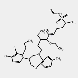 CCCc1c(C2COc3ccc(C)cc3N(CCC(CC)C(OCC)/C(C)=C/CCC(C)S(=O)(=O)NC=O)C2)ccc(Cl)c1F